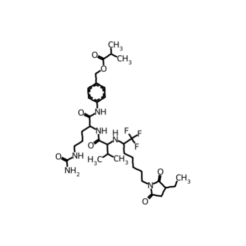 CCC1CC(=O)N(CCCCCC(NC(C(=O)NC(CCCNC(N)=O)C(=O)Nc2ccc(COC(=O)C(C)C)cc2)C(C)C)C(F)(F)F)C1=O